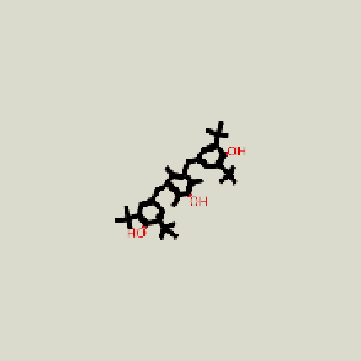 Cc1c(O)c(C)c(Cc2cc(C(C)(C)C)c(O)c(C(C)(C)C)c2)c(C)c1Cc1cc(C(C)(C)C)c(O)c(C(C)(C)C)c1